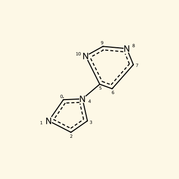 [c]1nccn1-c1ccncn1